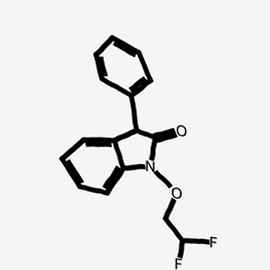 O=C1C(c2ccccc2)c2ccccc2N1OCC(F)F